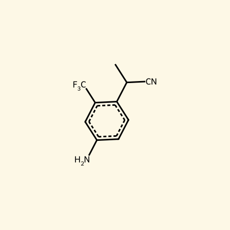 CC(C#N)c1ccc(N)cc1C(F)(F)F